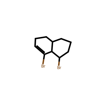 BrC1=CCCC2CCCC(Br)C12